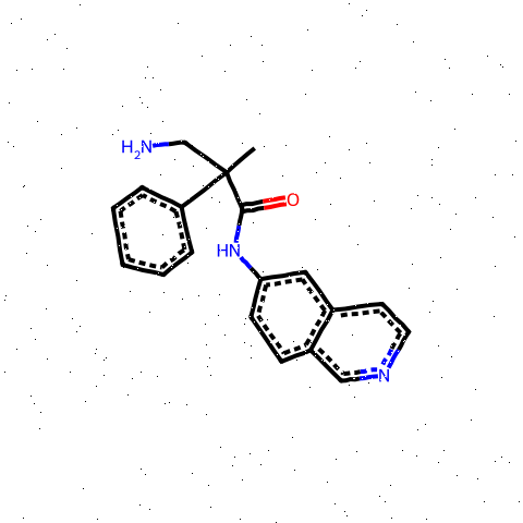 CC(CN)(C(=O)Nc1ccc2cnccc2c1)c1ccccc1